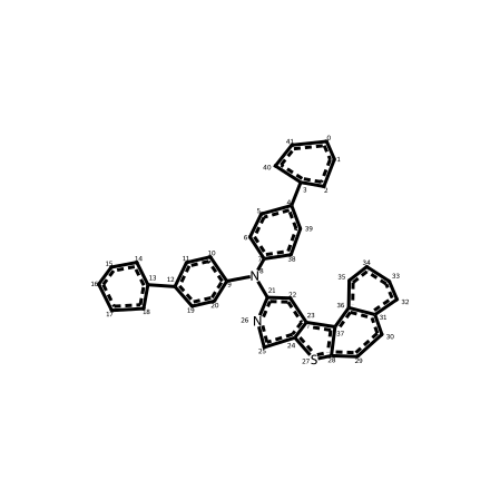 c1ccc(-c2ccc(N(c3ccc(-c4ccccc4)cc3)c3cc4c(cn3)sc3ccc5ccccc5c34)cc2)cc1